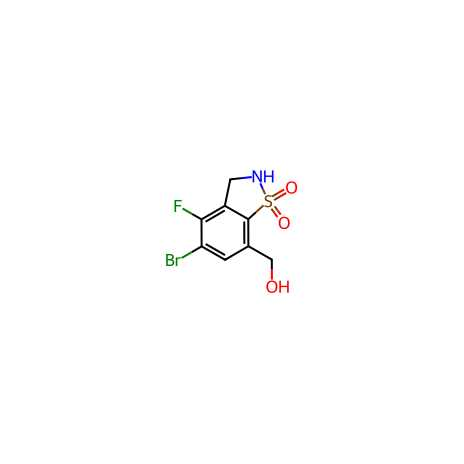 O=S1(=O)NCc2c(F)c(Br)cc(CO)c21